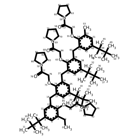 CCc1cc(C(C)(C)C(C)(C)C)cc(Cc2cc(C(C)(C)C(C)(C)C)cc(Cc3cc(C(C)(C)C(C)(C)C)cc(Cc4cc(C(C)(C)C(C)(C)C)cc(C)c4OCC(=O)N4CCCC4)c3OCC(=O)N3CCCC3)c2OCC(=O)N2CCCC2)c1OCC(=O)N1CCCC1